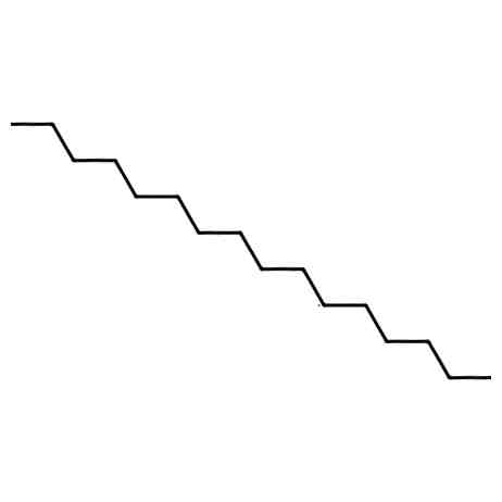 CCCCC[CH]CCCCCCCCCC